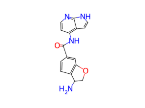 NC1COc2cc(C(=O)Nc3ccnc4[nH]ccc34)ccc21